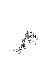 CCOc1cc(CN2CCC3(CC2)CC(=O)N(c2ccc(C(=O)O)cc2)C3)cc(OCC)c1OCC